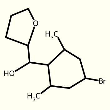 CC1CC(Br)CC(C)C1C(O)C1CCCO1